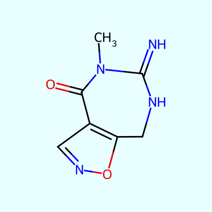 CN1C(=N)NCc2oncc2C1=O